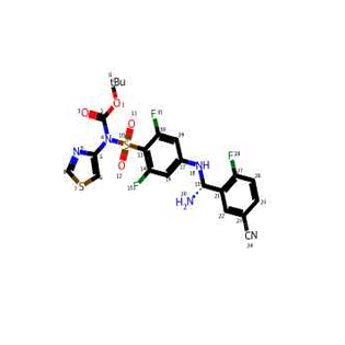 CC(C)(C)OC(=O)N(c1cscn1)S(=O)(=O)c1c(F)cc(N[C@@H](N)c2cc(C#N)ccc2F)cc1F